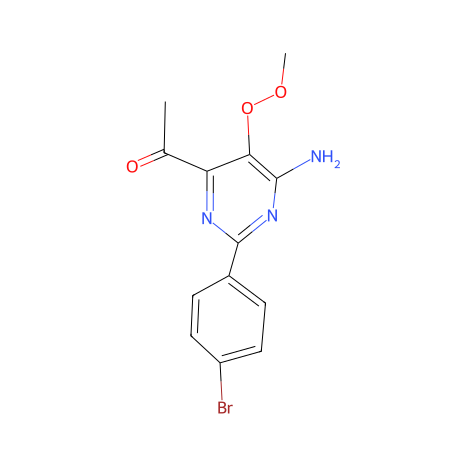 COOc1c(N)nc(-c2ccc(Br)cc2)nc1C(C)=O